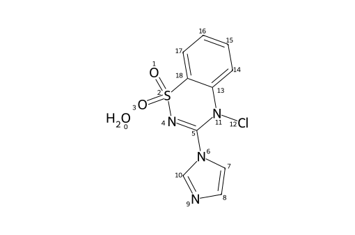 O.O=S1(=O)N=C(n2ccnc2)N(Cl)c2ccccc21